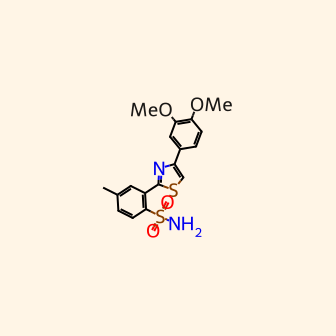 COc1ccc(-c2csc(-c3cc(C)ccc3S(N)(=O)=O)n2)cc1OC